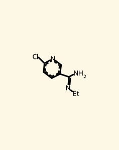 CC/N=C(\N)c1ccc(Cl)nc1